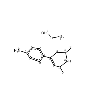 CC(C)(C)OC=O.CC1C=C(c2ccc(N)cc2)CC(C)N1